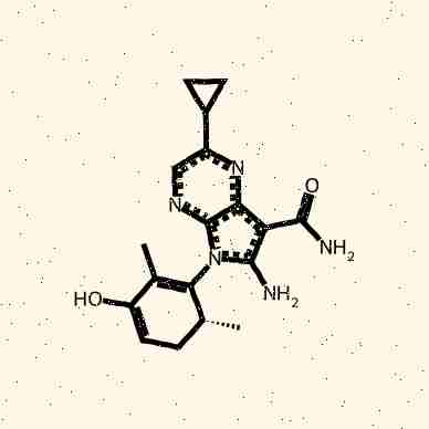 CC1=C(n2c(N)c(C(N)=O)c3nc(C4CC4)cnc32)[C@H](C)CC=C1O